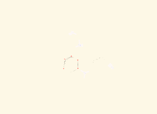 CCC1C=Cc2ccccc2N1C1=CC=C=C=C1c1cc(C#N)cc(-c2ccccc2C2N=C(c3ccccc3)C=C(c3ccccc3)N2)c1